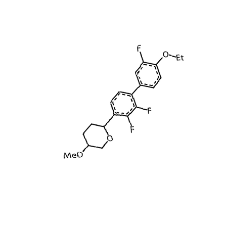 CCOc1ccc(-c2ccc(C3CCC(OC)CO3)c(F)c2F)cc1F